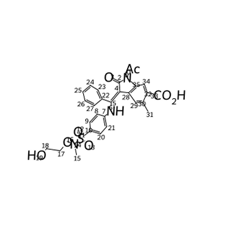 CC(=O)N1C(=O)C(=C(Nc2ccc(S(=O)(=O)N(C)OCCO)cc2)c2ccccc2)c2cc(C)c(C(=O)O)cc21